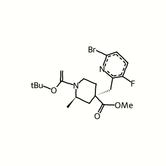 C=C(OC(C)(C)C)N1CC[C@@](Cc2nc(Br)ccc2F)(C(=O)OC)C[C@H]1C